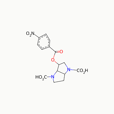 O=C(OC1CN(C(=O)O)C2CCN(C(=O)O)C12)c1ccc([N+](=O)[O-])cc1